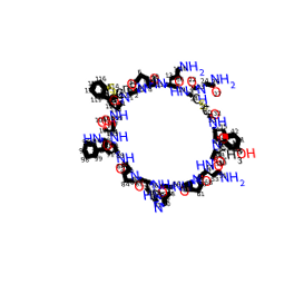 CCCC[C@H]1C(=O)N2CCC[C@@H]2C(=O)N[C@@H](CCCN)C(=O)N[C@H](C(=O)NCC(N)=O)CSCC(=O)N[C@@H](Cc2ccc(O)cc2)C(=O)N(C)[C@@H](C)C(=O)N[C@@H](CC(N)=O)C(=O)N2CCC[C@H]2C(=O)N[C@@H](Cc2cnc[nH]2)C(=O)N[C@@H](CC(C)C)C(=O)N2CCCC2C(=O)N[C@@H](Cc2c[nH]c3ccccc23)C(=O)N[C@@H](CO)C(=O)N[C@@H](Cc2csc3ccccc23)C(=O)N1C